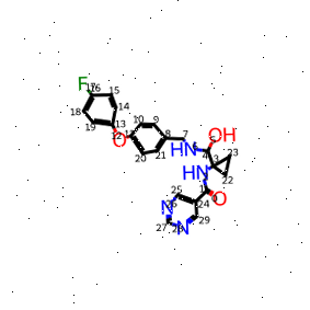 O=C(NC1(C(O)NCc2ccc(Oc3ccc(F)cc3)cc2)CC1)c1cncnc1